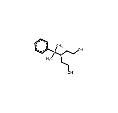 C[Si](C)(c1ccccc1)P(CCO)CCO